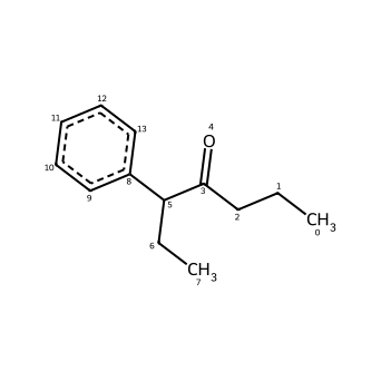 CCCC(=O)C(CC)c1ccccc1